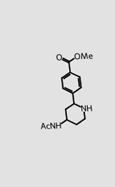 COC(=O)c1ccc(C2CC(NC(C)=O)CCN2)cc1